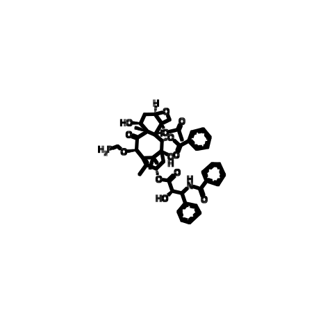 CC(=O)O[C@@]12CO[C@@H]1C[C@H](O)[C@@]1(C)C(=O)[C@H](OCP)C3=C(C)[C@@H](OC(=O)[C@H](O)C(NC(=O)c4ccccc4)c4ccccc4)C[C@@](O)([C@@H](OC(=O)c4ccccc4)[C@H]21)C3(C)C